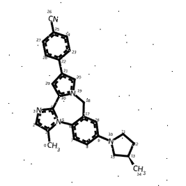 Cc1cnc2n1-c1ccc(N3CC[C@@H](C)C3)cc1Cn1cc(-c3ccc(C#N)cc3)cc1-2